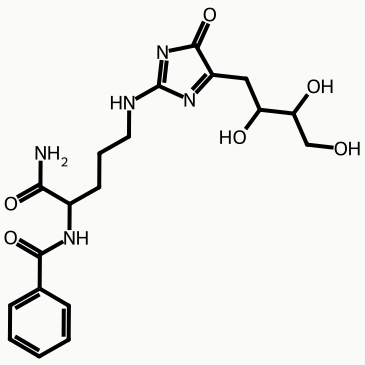 NC(=O)C(CCCNC1=NC(=O)C(CC(O)C(O)CO)=N1)NC(=O)c1ccccc1